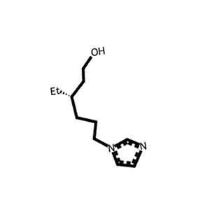 CC[C@H](CCO)CCCn1ccnc1